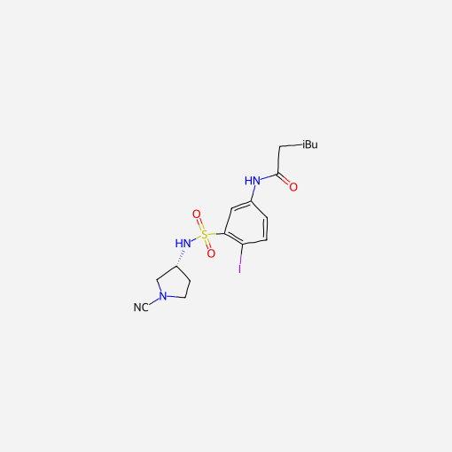 CCC(C)CC(=O)Nc1ccc(I)c(S(=O)(=O)N[C@@H]2CCN(C#N)C2)c1